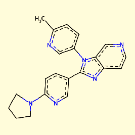 Cc1ccc(-n2c(-c3ccc(N4CCCC4)nc3)nc3ccncc32)cn1